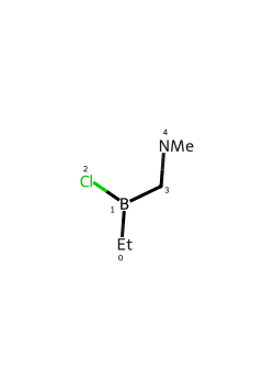 CCB(Cl)CNC